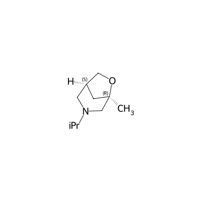 CC(C)N1C[C@H]2CO[C@](C)(C2)C1